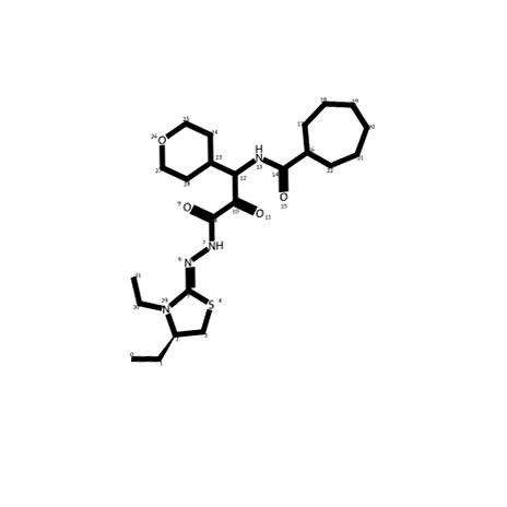 CC[C@@H]1CS/C(=N\NC(=O)C(=O)C(NC(=O)C2CCCCCC2)C2CCOCC2)N1CC